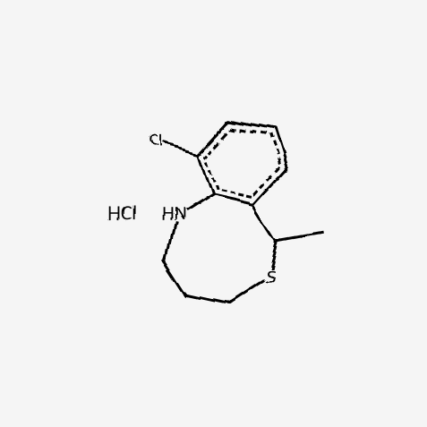 CC1SCCCNc2c(Cl)cccc21.Cl